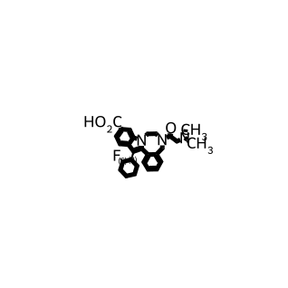 CN(C)CC(=O)N1CCn2c(c([C@H]3CCCC[C@@H]3F)c3ccc(C(=O)O)cc32)-c2ccccc2C1